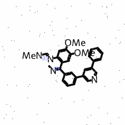 C/N=C(/c1cccc(-c2cncc(-c3ccccc3)c2)c1)c1cc(OC)c(OC)cc1/N=C/NC